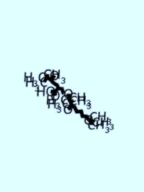 CC(C)(C)OCCCCCC(=O)C(C)(C)C(C)(C)OCCC(CCC(=O)C(C)(C)C)C(=O)O